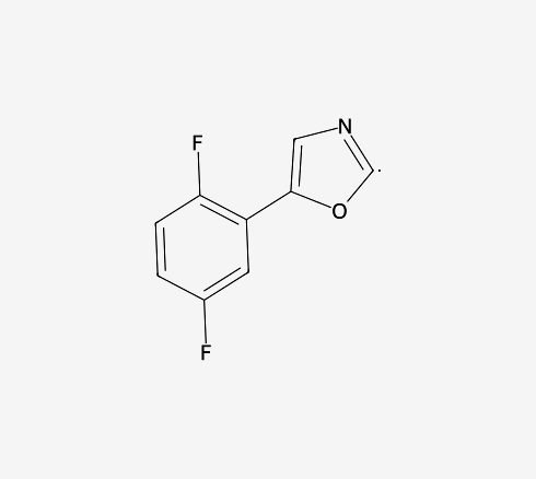 Fc1ccc(F)c(-c2cn[c]o2)c1